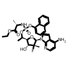 CCOC(=O)[C@H](C)NP(=O)(Oc1cccc2ccccc12)OC(C)[C@H]1O[C@@H](n2ccc3c(N)ccnc32)[C@](C)(F)[C@@H]1O